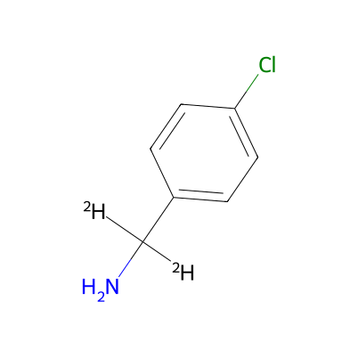 [2H]C([2H])(N)c1ccc(Cl)cc1